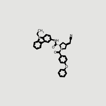 CCn1c2ccccc2c2cc(NC(=O)[C@@H]3C/C(=C\C#N)CN3C(=O)c3ccc(Oc4ccccc4)cc3)ccc21